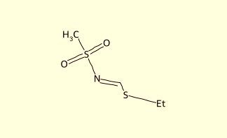 CCSC=NS(C)(=O)=O